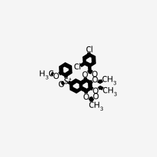 CCOc1c(OCC)c(OC(=O)c2ccc(Cl)cc2Cl)c2cc([S+]([O-])c3ccccc3OC)ccc2c1OC(C)=O